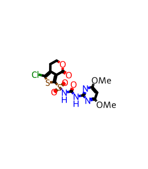 COc1cc(OC)nc(NC(=O)NS(=O)(=O)c2sc(Cl)c3c2C(=O)OCC3)n1